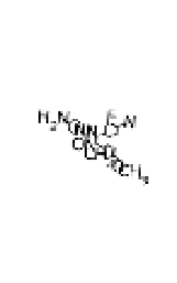 COCc1ccc(-c2c(-c3ccc(C#N)c(F)c3)nc(N3CCC(N)CC3)c(=O)n2C)cc1